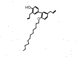 C=CCc1ccc(OCCCCCCCCCCCC)c(-c2ccc(O)c(CC=C)c2)c1